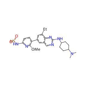 CCc1cc(-c2ccc(N[SH](=O)=O)nc2OC)cc2cnc(NC3CCC(N(C)C)CC3)nc12